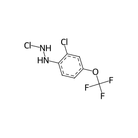 FC(F)(F)Oc1ccc(NNCl)c(Cl)c1